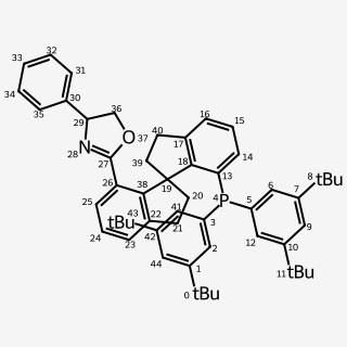 CC(C)(C)c1cc(P(c2cc(C(C)(C)C)cc(C(C)(C)C)c2)c2cccc3c2C2(CCc4cccc(C5=NC(c6ccccc6)CO5)c42)CC3)cc(C(C)(C)C)c1